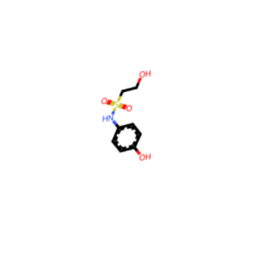 O=S(=O)(CCO)Nc1ccc(O)cc1